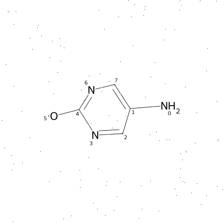 Nc1cnc([O])nc1